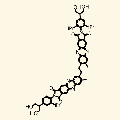 Cc1cc2nc3cc4c(cc3nc2cc1CCc1cc2nc3cc5c(cc3nc2cc1C)C(=O)N(c1c(C(C)C)cc(C(CO)CO)cc1C(C)C)C5=O)C(=O)N(c1ccc(C(CO)CO)cc1C(C)C)C4=O